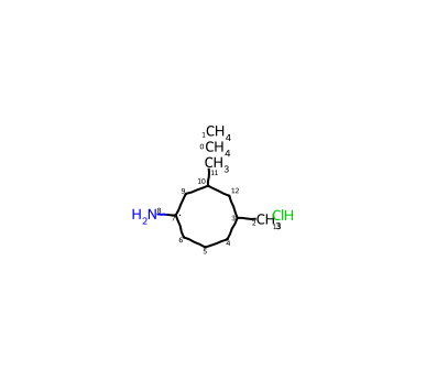 C.C.CC1CCC[C](N)CC(C)C1.Cl